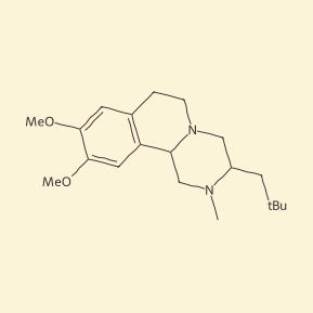 COc1cc2c(cc1OC)C1CN(C)C(CC(C)(C)C)CN1CC2